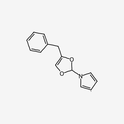 [c]1ccn(C2OC=C(Cc3ccccc3)O2)c1